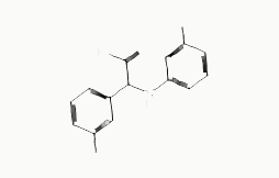 O=C(O)C(Nc1cccc(F)c1)c1cccc(F)c1